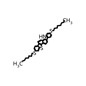 CCCCCCCCSc1ccc2c(c1)[nH]c1c2ccc2c1ccc1c3ccc(SCCCCCCCC)cc3sc12